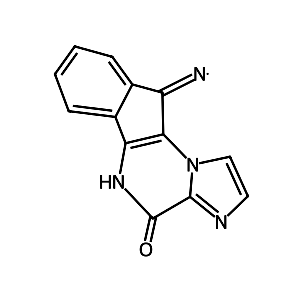 [N]=C1c2ccccc2-c2[nH]c(=O)c3nccn3c21